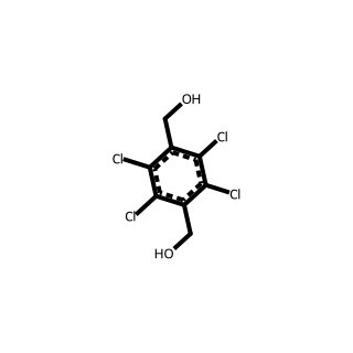 OCc1c(Cl)c(Cl)c(CO)c(Cl)c1Cl